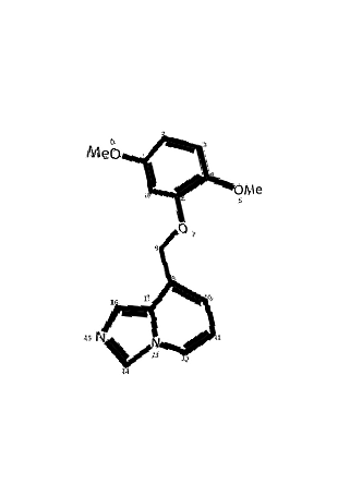 COc1ccc(OC)c(OCc2cccn3cncc23)c1